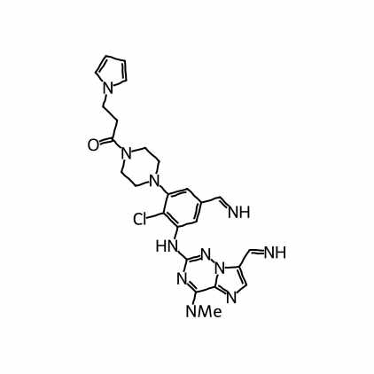 CNc1nc(Nc2cc(C=N)cc(N3CCN(C(=O)CCn4cccc4)CC3)c2Cl)nn2c(C=N)cnc12